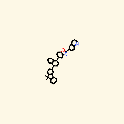 CC1(C)c2ccccc2-c2cc(-c3ccc(-c4ccc5oc(-c6ccc7ncccc7c6)nc5c4)c4ccccc34)ccc21